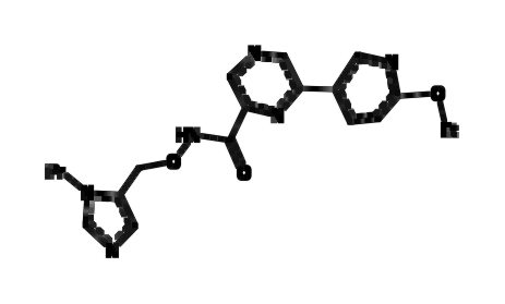 CCOc1ccc(-c2cncc(C(=O)NOCc3cncn3C(C)C)n2)cn1